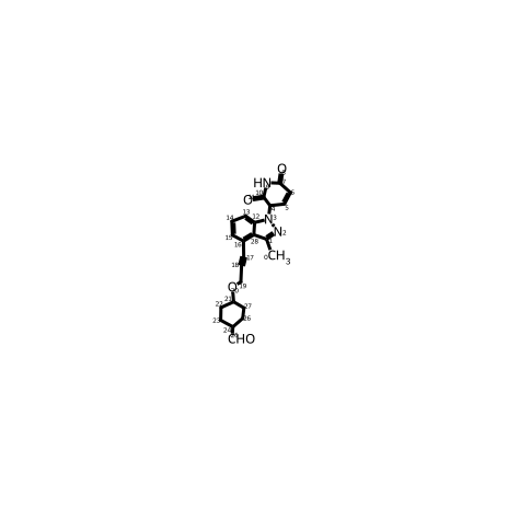 Cc1nn(C2C=CC(=O)NC2=O)c2cccc(C#CCOC3CCC(C=O)CC3)c12